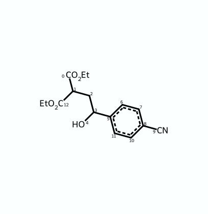 CCOC(=O)C(CC(O)c1ccc(C#N)cc1)C(=O)OCC